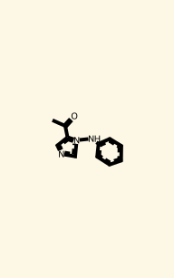 CC(=O)c1cncn1Nc1ccccc1